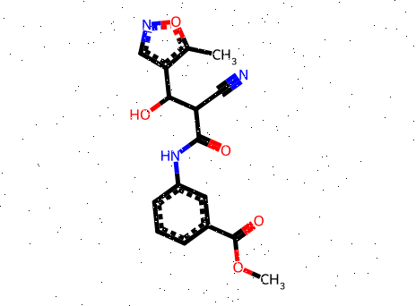 COC(=O)c1cccc(NC(=O)C(C#N)C(O)c2cnoc2C)c1